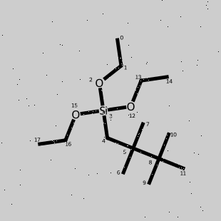 CCO[Si](CC(C)(C)C(C)(C)C)(OCC)OCC